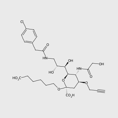 C#CCO[C@H]1C[C@](OCCCCCC(=O)O)(C(=O)O)O[C@@H]([C@H](O)[C@H](O)CNC(=O)Cc2ccc(Cl)cc2)[C@@H]1NC(=O)CO